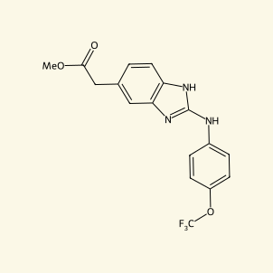 COC(=O)Cc1ccc2[nH]c(Nc3ccc(OC(F)(F)F)cc3)nc2c1